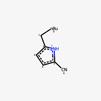 CCCCCc1ccc(C#N)[nH]1